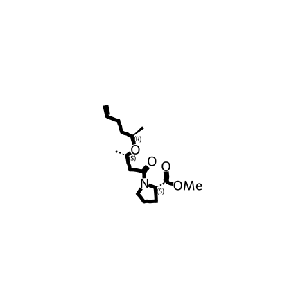 C=CCC[C@@H](C)O[C@@H](C)CC(=O)N1CCC[C@H]1C(=O)OC